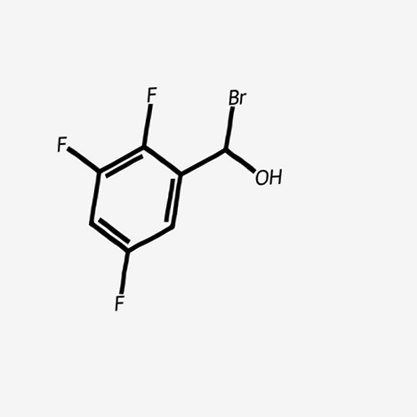 OC(Br)c1cc(F)cc(F)c1F